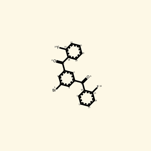 O=C(c1cc(Br)cc(C(=O)c2ccccc2F)c1)c1ccccc1F